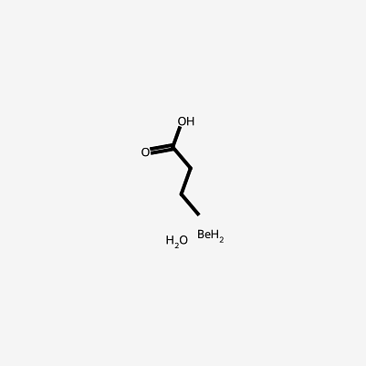 CCCC(=O)O.O.[BeH2]